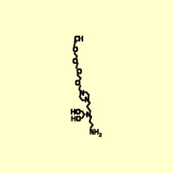 C#CCOCCOCCOCCOCCN1CCN(CCCN(CCCCN)C(CO)CO)CC1